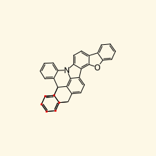 c1ccc2c(c1)C1c3ccccc3C23c2ccccc2-n2c4ccc5c6ccccc6oc5c4c4ccc1c3c42